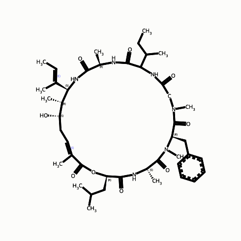 C/C=C(\C)[C@H]1NC(=O)[C@@H](C)NC(=O)C(C(C)CC)NC(=O)CN(C)C(=O)[C@@H](Cc2ccccc2)N(C)C(=O)[C@H](C)NC(=O)[C@@H](CC(C)C)OC(=O)/C(C)=C/C[C@H](O)[C@@H]1C